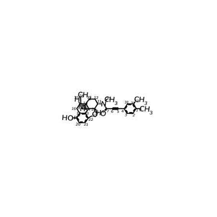 Cc1ccc(C#CC(=O)N(C)[C@@H]2CC[C@H]3[C@H]4Cc5c(O)ccc6c5[C@@]3(CCN4C)[C@H]2O6)cc1C